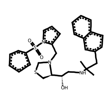 CC(C)(Cc1ccc2ccccc2c1)NC[C@H](O)[C@H]1CSCN1Cc1cccn1S(=O)(=O)c1ccccc1